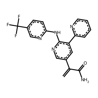 C=C(C(N)=O)c1cnc(Nc2ccc(C(F)(F)F)cn2)c(-c2ccccn2)c1